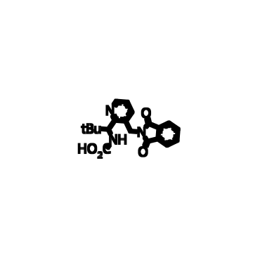 CC(C)(C)C(NC(=O)O)c1ncccc1CN1C(=O)c2ccccc2C1=O